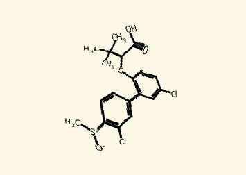 C[S+]([O-])c1ccc(-c2cc(Cl)ccc2OC(C(=O)O)C(C)(C)C)cc1Cl